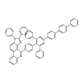 c1ccc(-c2ccc(-c3ccc(-c4nc(-c5ccccc5)c(-c5ccc(-c6nc7ccccc7c7ccc8c(nc(-c9ccccc9)n8-c8ccccc8)c67)cc5)c(-c5ccccc5)n4)cc3)cc2)cc1